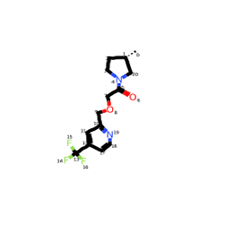 C[C@H]1CCN(C(=O)COCc2cc(C(F)(F)F)ccn2)C1